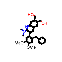 COc1cc(Cc2ccccc2)c(-c2cc3cc(CO)c(CO)cc3nc2N(C)C)cc1OC